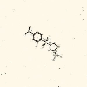 Cc1cc(N(C)C)ccc1S(=O)(=O)N1CC[C@@H](N(C)C)C1